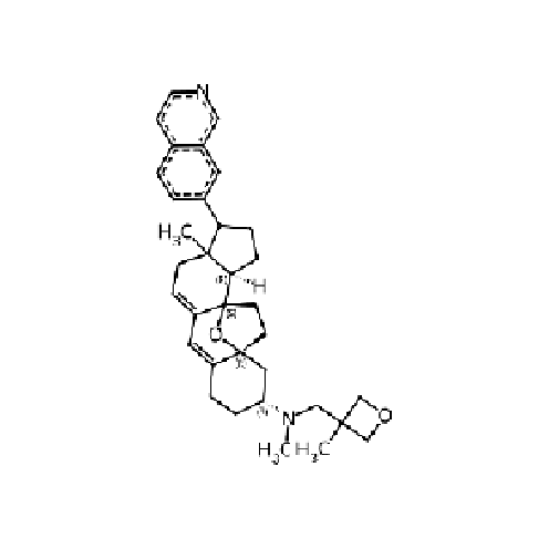 CN(CC1(C)COC1)[C@@H]1CCC2=CC3=CCC4(C)C(c5ccc6ccncc6c5)CC[C@H]4[C@@]34CC[C@]2(C1)O4